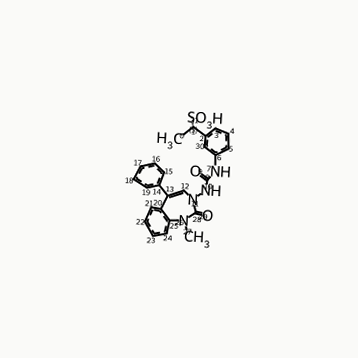 C[C@@H](c1cccc(NC(=O)NN2C=C(c3ccccc3)c3ccccc3N(C)C2=O)c1)S(=O)(=O)O